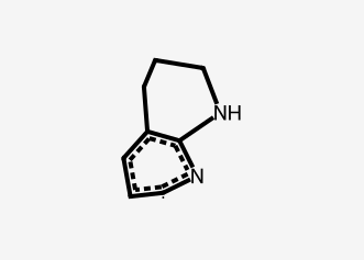 [c]1ccc2c(n1)NCCC2